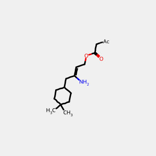 CC(=O)CC(=O)OCC=C(N)CC1CCC(C)(C)CC1